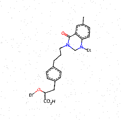 CCOC(Cc1ccc(CCCN2CN(CC)c3ccc(C)cc3C2=O)cc1)C(=O)O